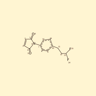 O=C1C=CC(=O)N1c1ccc(CCC(F)F)cc1